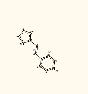 C(=C\c1nccs1)/c1ncncn1